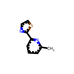 Cc1cc[c]c(-c2nccs2)n1